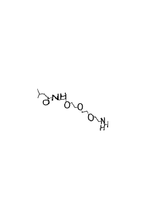 CC(C)CC(=O)NCCOCCOCCOCCNCI